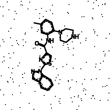 Cc1ccc(N2CCNCC2)c(NC(=O)c2csc(-n3ncc4ccccc43)n2)c1